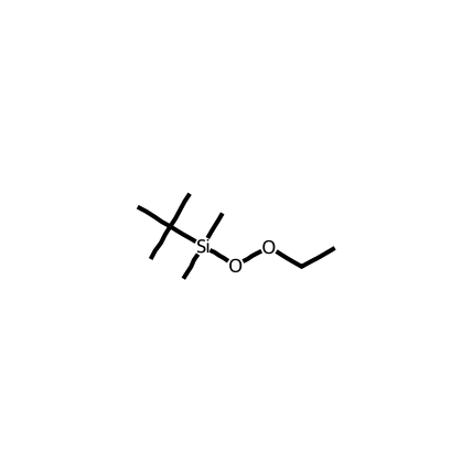 CCOO[Si](C)(C)C(C)(C)C